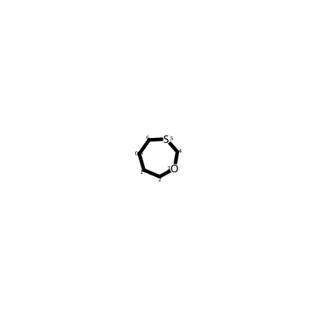 [CH]1CCOCSC1